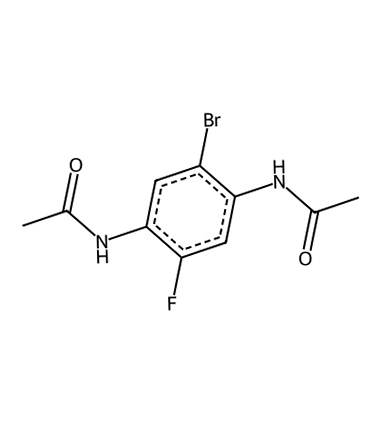 CC(=O)Nc1cc(Br)c(NC(C)=O)cc1F